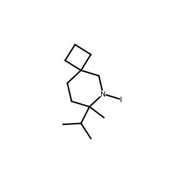 CC(C)C1(C)CCC2(CCC2)CN1I